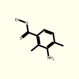 CCOC(=S)c1ccc(C)c(N)c1C